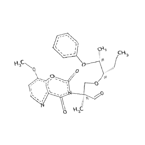 CC[C@H](OC[C@@](C)(C=O)n1c(=O)oc2c(OC)ccnc2c1=O)[C@@H](C)Oc1ccccc1